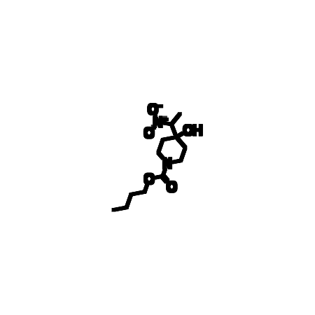 CCCCOC(=O)N1CCC(O)(C(C)[N+](=O)[O-])CC1